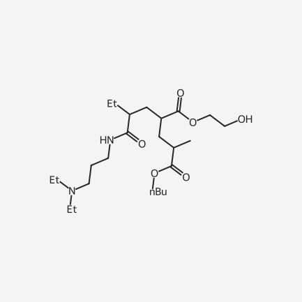 CCCCOC(=O)C(C)CC(CC(CC)C(=O)NCCCN(CC)CC)C(=O)OCCO